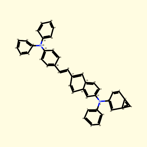 C1=c2ccc(N(c3ccccc3)c3ccc4cc(/C=C/c5ccc(N(c6ccccc6)c6ccccc6)cc5)ccc4c3)cc2=1